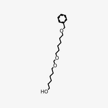 OCCCCCCOCOCCCCCCOCc1ccccc1